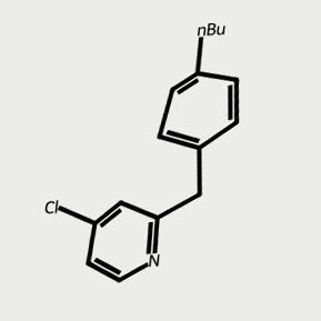 CCCCc1ccc(Cc2cc(Cl)ccn2)cc1